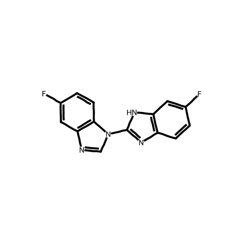 Fc1ccc2c(c1)ncn2-c1nc2ccc(F)cc2[nH]1